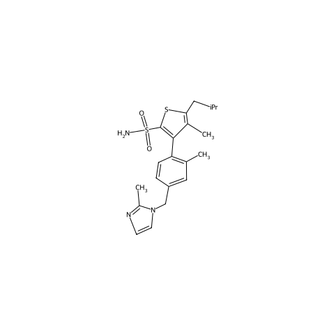 Cc1cc(Cn2ccnc2C)ccc1-c1c(S(N)(=O)=O)sc(CC(C)C)c1C